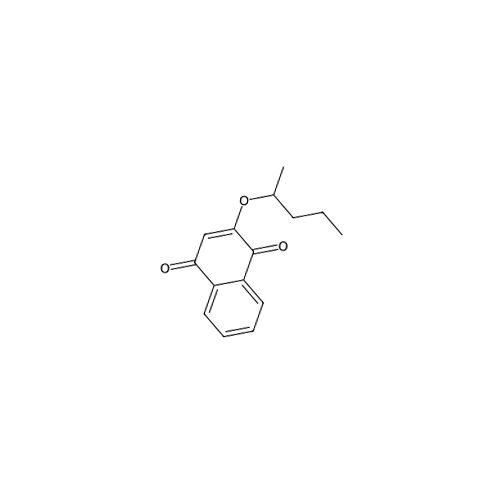 CCCC(C)OC1=CC(=O)c2ccccc2C1=O